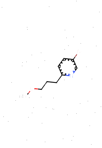 CCCOCCCc1ccc(Br)cn1